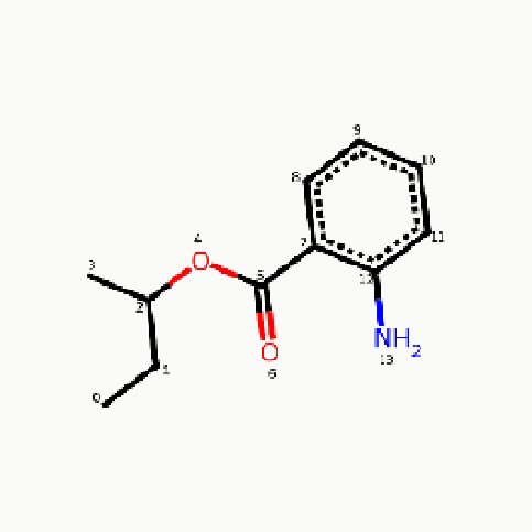 CCC(C)OC(=O)c1ccccc1N